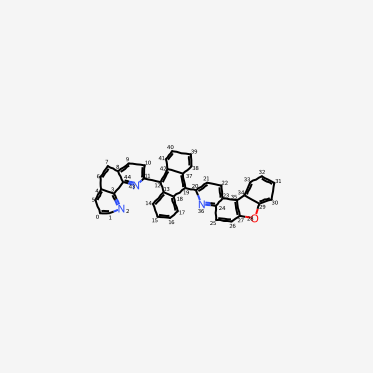 c1cnc2c(c1)ccc1ccc(-c3c4ccccc4c(-c4ccc5c(ccc6oc7ccccc7c65)n4)c4ccccc34)nc12